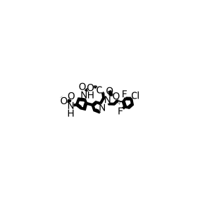 COC(=O)Nc1ccc2c(c1)NC(=O)OCCCC(N1CC[C@H](c3c(F)ccc(Cl)c3F)OC1=O)c1cc-2ccn1